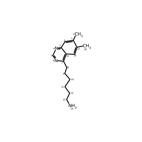 Cc1cc2ncnc(CCCCCCN)c2cc1C